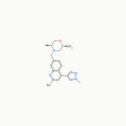 CC(=O)c1cc(-c2cnn(C)c2)c2ccc(CN3C[C@H](C(F)(F)F)OC[C@@H]3C)cc2n1